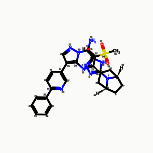 Cc1nnc(N2[C@@H]3CC[C@H]2C[C@H](c2nc4c(-c5ccc(-c6ccccc6)nc5)cnn4c(N)c2S(C)(=O)=O)C3)[nH]1